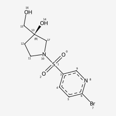 O=S(=O)(c1ccc(Br)nc1)N1CC[C@](O)(CO)C1